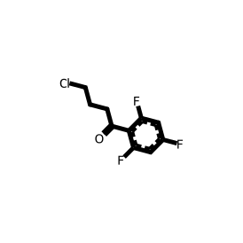 O=C(CCCCl)c1c(F)cc(F)cc1F